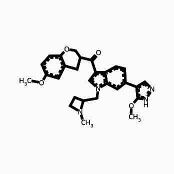 COc1ccc2c(c1)CC(C(=O)c1cn(CC3CCN3C)c3cc(-c4cn[nH]c4OC)ccc13)CO2